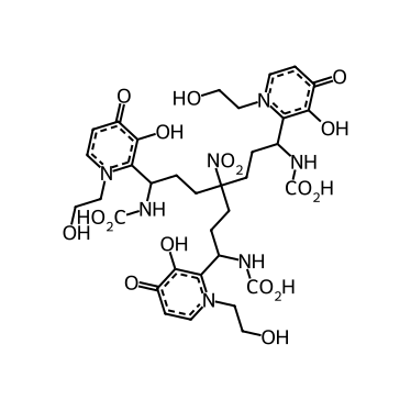 O=C(O)NC(CCC(CCC(NC(=O)O)c1c(O)c(=O)ccn1CCO)(CCC(NC(=O)O)c1c(O)c(=O)ccn1CCO)[N+](=O)[O-])c1c(O)c(=O)ccn1CCO